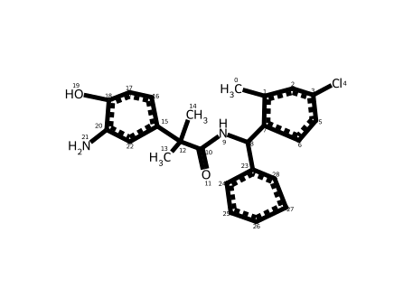 Cc1cc(Cl)ccc1C(NC(=O)C(C)(C)c1ccc(O)c(N)c1)c1ccccc1